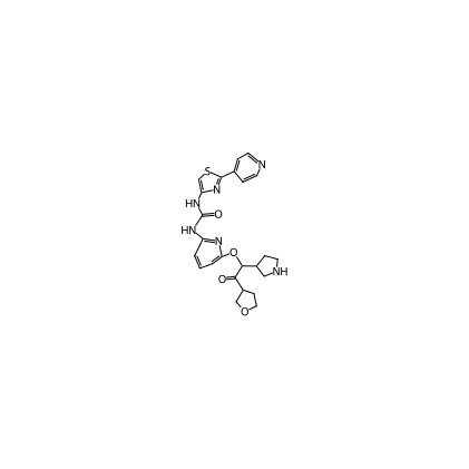 O=C(Nc1cccc(OC(C(=O)C2CCOC2)C2CCNC2)n1)Nc1csc(-c2ccncc2)n1